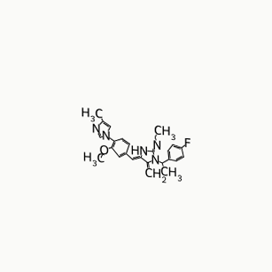 C=c1/c(=C/c2ccc(-n3cnc(C)c3)c(OC)c2)[nH]/c(=N\CC)n1C(C)c1ccc(F)cc1